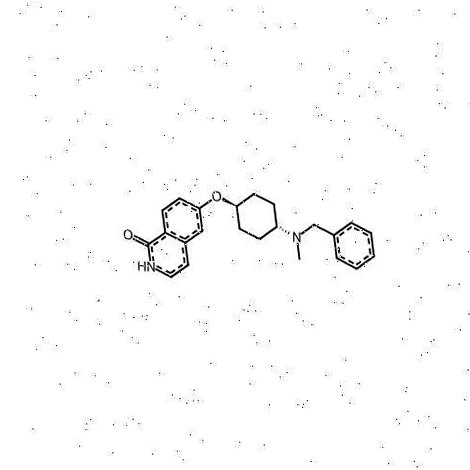 CN(Cc1ccccc1)[C@H]1CC[C@H](Oc2ccc3c(=O)[nH]ccc3c2)CC1